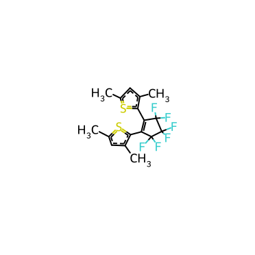 Cc1cc(C)c(C2=C(c3sc(C)cc3C)C(F)(F)C(F)(F)C2(F)F)s1